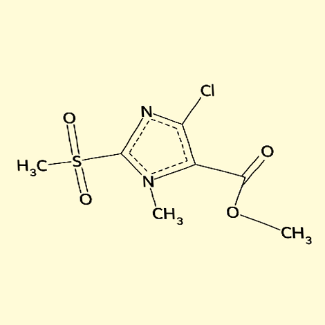 COC(=O)c1c(Cl)nc(S(C)(=O)=O)n1C